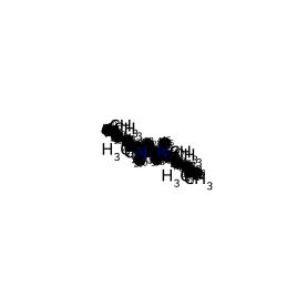 CC1(C)c2ccccc2-c2ccc(-c3ccc4c(c3)C(C)(C)c3cc(N(c5ccccc5)c5cc6c7ccccc7c(N(c7ccccc7)c7ccc8c(c7)C(C)(C)c7cc(-c9ccc%10c(c9)C(C)(C)c9ccccc9-%10)ccc7-8)cc6c6ccccc56)ccc3-4)cc21